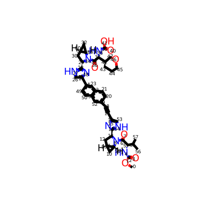 COC(=O)N[C@H](C(=O)N1[C@@H]2C[C@H]2C[C@H]1c1nc(C#Cc2ccc3cc(-c4c[nH]c([C@@H]5C[C@H]6C[C@H]6N5C(=O)[C@@H](NC(=O)O)[C@@H]5CCCOC5)n4)ccc3c2)c[nH]1)C(C)C